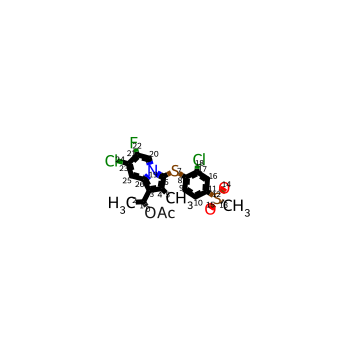 CC(=O)OC(C)c1c(C)c(Sc2ccc(S(C)(=O)=O)cc2Cl)n2cc(F)c(Cl)cc12